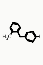 Cc1ccccc1Cc1ccc(I)cc1